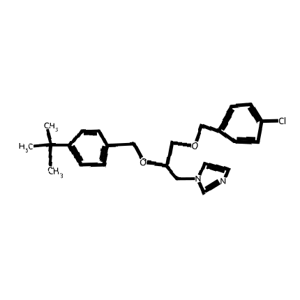 CC(C)(C)c1ccc(COC(COCc2ccc(Cl)cc2)Cn2ccnc2)cc1